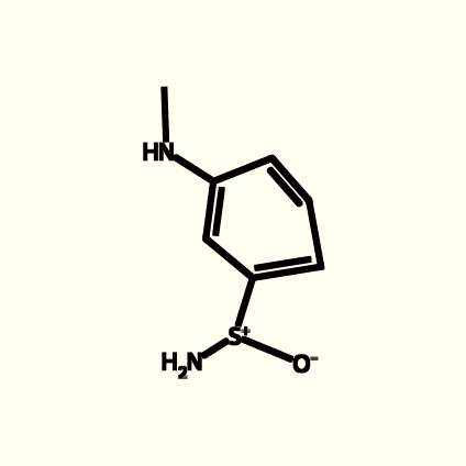 CNc1cccc([S+](N)[O-])c1